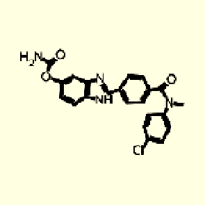 CN(C(=O)c1ccc(-c2nc3cc(OC(N)=O)ccc3[nH]2)cc1)c1ccc(Cl)cc1